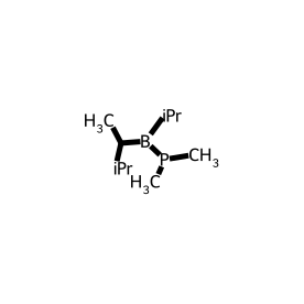 CC(C)B(C(C)C(C)C)P(C)C